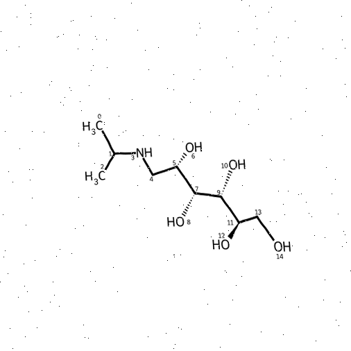 CC(C)NC[C@H](O)[C@@H](O)[C@H](O)[C@H](O)CO